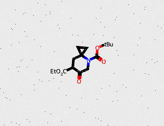 CCOC(=O)C1CC2(CC2)N(C(=O)OC(C)(C)C)CC1=O